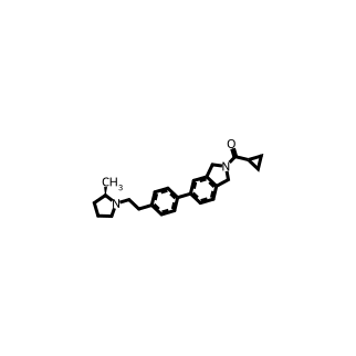 C[C@@H]1CCCN1CCc1ccc(-c2ccc3c(c2)CN(C(=O)C2CC2)C3)cc1